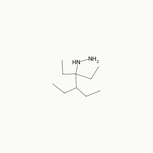 CCC(CC)C(CC)(CC)NN